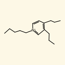 CCCCC[n+]1ccc(CCC)c(CCC)c1